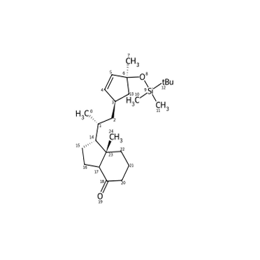 C[C@H](C[C@H]1C=C[C@@](C)(O[Si](C)(C)C(C)(C)C)C1)[C@H]1CCC2C(=O)CCC[C@]21C